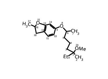 CCC(C)(CCCC(C)Oc1ccc2c(c1)OC(C)C2)OC